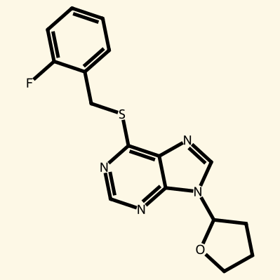 Fc1ccccc1CSc1ncnc2c1ncn2C1CCCO1